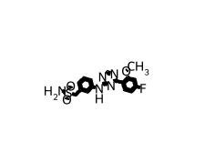 COc1cc(F)ccc1-c1ncnc(Nc2cccc(CS(N)(=O)=O)c2)n1